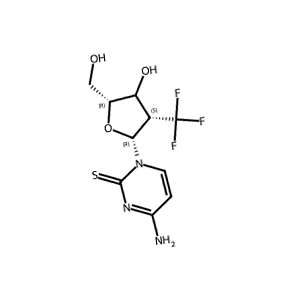 Nc1ccn([C@@H]2O[C@H](CO)C(O)[C@@H]2C(F)(F)F)c(=S)n1